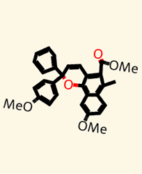 COC(=O)c1c2c(c3cc(OC)ccc3c1C)OC(c1ccccc1)(c1ccc(OC)cc1)C=C2